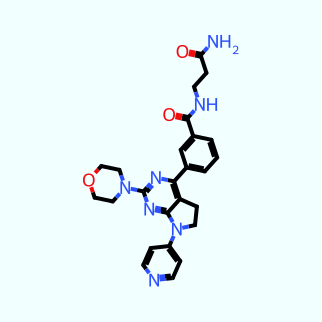 NC(=O)CCNC(=O)c1cccc(-c2nc(N3CCOCC3)nc3c2CCN3c2ccncc2)c1